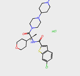 CN1CCC(N2CCN(C(=O)[C@](C)(NC(=O)c3cc4ccc(Cl)cc4s3)C3CCOCC3)CC2)CC1.Cl